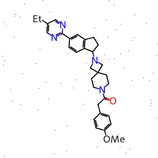 CCc1cnc(-c2ccc3c(c2)CCC3N2CC3(CCN(C(=O)Cc4ccc(OC)cc4)CC3)C2)nc1